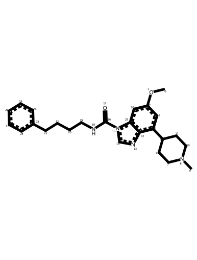 COc1cc(C2CCN(C)CC2)c2ncn(C(=O)NCCCCc3ccccc3)c2c1